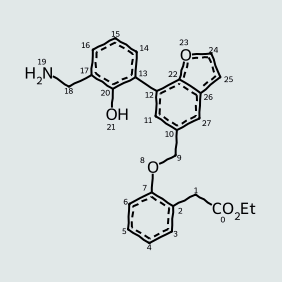 CCOC(=O)Cc1ccccc1OCc1cc(-c2cccc(CN)c2O)c2occc2c1